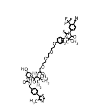 Cc1ncsc1-c1ccc(CNC(=O)[C@@H]2C[C@H](O)CN2C(=O)[C@@H](NC(=O)COCCOCCOCCOc2ccc(N3C(=S)N(c4ccc(C#N)c(C(F)(F)F)c4)C(=O)C3(C)C)cc2)C(C)(C)C)cc1